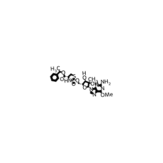 COc1nc(N)nc2c1ncn2[C@@H]1O[C@H](COP2(=O)N[C@H](C(=O)O[C@H](C)c3ccccc3)CS2)[C@@H](O)[C@@]1(C)O